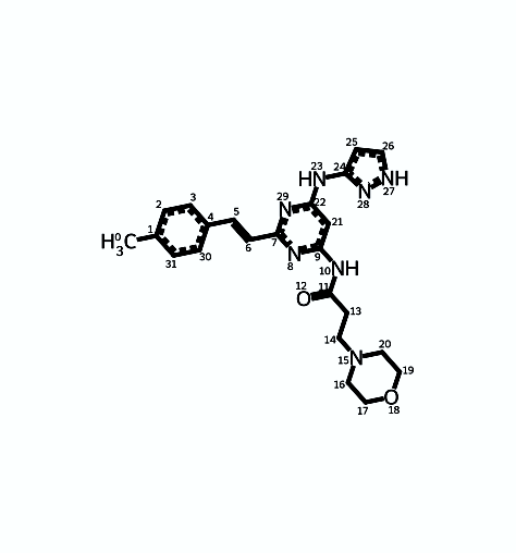 Cc1ccc(/C=C/c2nc(NC(=O)CCN3CCOCC3)cc(Nc3cc[nH]n3)n2)cc1